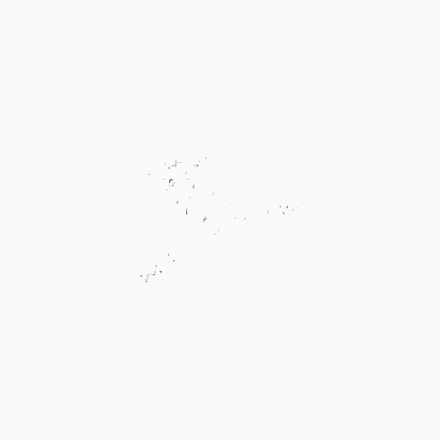 COc1ccc(CO[C@@H]2[C@@H](C(CCCN=[N+]=[N-])OCc3ccccc3)O[C@@](O)(C(C)=O)[C@@H]2OC(C)=O)cc1